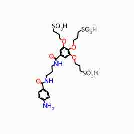 Nc1ccc(C(=O)NCCCNC(=O)c2cc(OCCCS(=O)(=O)O)c(OCCCS(=O)(=O)O)c(OCCCS(=O)(=O)O)c2)cc1